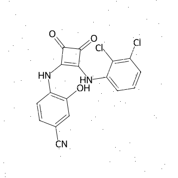 N#Cc1ccc(Nc2c(Nc3cccc(Cl)c3Cl)c(=O)c2=O)c(O)c1